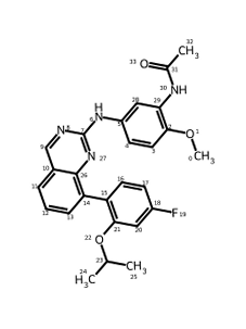 COc1ccc(Nc2ncc3cccc(-c4ccc(F)cc4OC(C)C)c3n2)cc1NC(C)=O